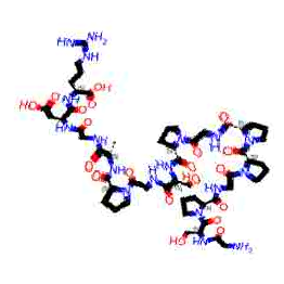 C[C@H](NC(=O)[C@@H]1CCCN1C(=O)CNC(=O)[C@H](CO)NC(=O)[C@@H]1CCCN1C(=O)CNC(=O)[C@@H]1CCCN1C(=O)[C@@H]1CCCN1C(=O)CNC(=O)[C@@H]1CCCN1C(=O)[C@H](CO)NC(=O)CN)C(=O)NCC(=O)N[C@@H](CC(=O)O)C(=O)N[C@@H](CCCNC(=N)N)C(=O)O